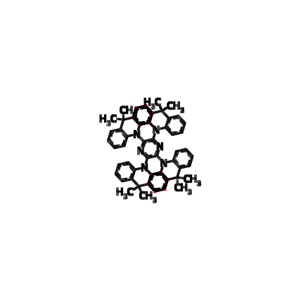 CC1(C)c2ccccc2N(c2nc(N3c4ccccc4C(C)(C)c4ccccc43)c(N3c4ccccc4C(C)(C)c4ccccc43)nc2N2c3ccccc3C(C)(C)c3ccccc32)c2ccccc21